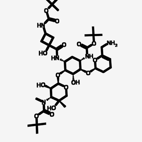 CN(C(=O)OC(C)(C)C)[C@@H]1[C@@H](O)[C@@H](O[C@@H]2[C@@H](O)[C@H](O[C@@H]3CCC=C(CN)O3)[C@@H](NC(=O)OC(C)(C)C)C[C@H]2NC(=O)C2(O)CC(NC(=O)OC(C)(C)C)C2)OC[C@]1(C)O